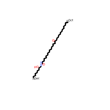 CCCCCCCCC=CCCCCCCCCCCCC(=O)CCCCCCCCCCCCCCC(=O)NC[C@H](O)CCCCCCCCCCCCCCCC